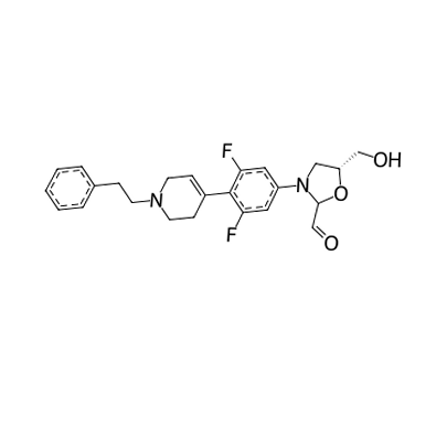 O=CC1O[C@@H](CO)CN1c1cc(F)c(C2=CCN(CCc3ccccc3)CC2)c(F)c1